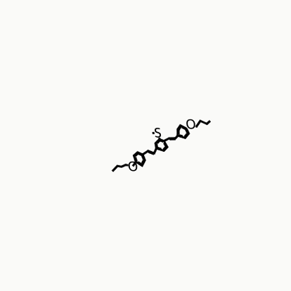 CCCCOc1ccc(C=Cc2ccc(C=Cc3ccc(OCCCC)cc3)c(SC)c2)cc1